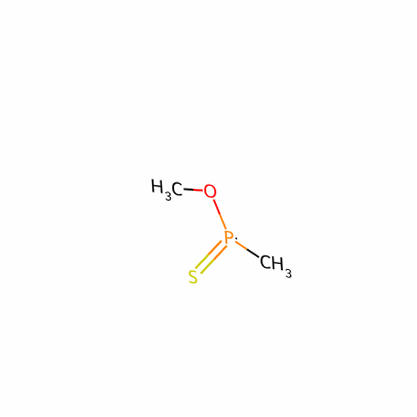 CO[P](C)=S